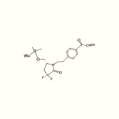 COC(=O)c1ccc(CCN2C(=O)C(F)(F)C[C@@H]2CO[Si](C)(C)C(C)(C)C)cc1